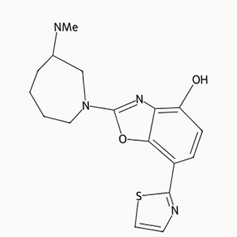 CNC1CCCCN(c2nc3c(O)ccc(-c4nccs4)c3o2)C1